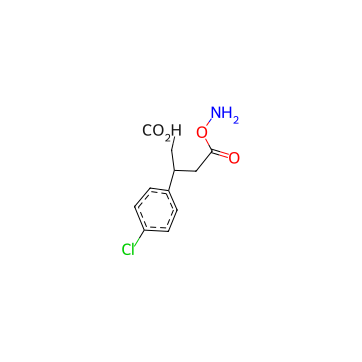 NOC(=O)CC(CC(=O)O)c1ccc(Cl)cc1